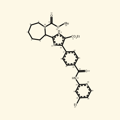 CCOC(=O)c1[nH]c(C2CCCCCN2C(=O)OC(C)(C)C)nc1-c1ccc(C(=O)Nc2cc(CC)ccn2)cc1